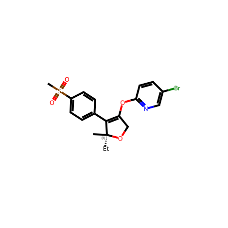 CC[C@@]1(C)OCC(Oc2ccc(Br)cn2)=C1c1ccc(S(C)(=O)=O)cc1